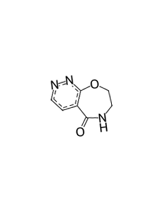 O=C1NCCOc2nnccc21